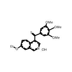 CCOc1ccc2c(C(=S)c3cc(OC)c(OC)c(OC)c3)cncc2c1.Cl